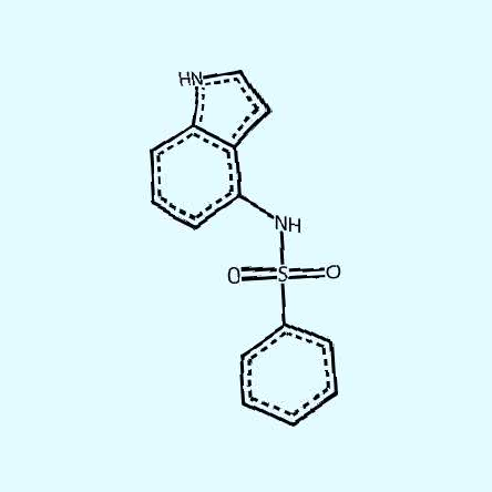 O=S(=O)(Nc1cccc2[nH]ccc12)c1ccccc1